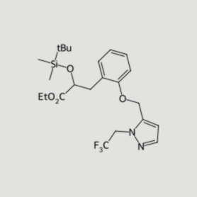 CCOC(=O)C(Cc1ccccc1OCc1ccnn1CC(F)(F)F)O[Si](C)(C)C(C)(C)C